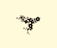 CC(C)n1ncc2cc(-c3cn(S(=O)(=O)c4ccccc4)c4ncc(C=O)c(NC5CC(NC(=O)OC(C)(C)C)C5)c34)ccc21